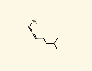 CC(C)CCN=C=NN